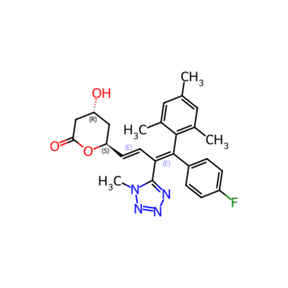 Cc1cc(C)c(/C(=C(\C=C\[C@@H]2C[C@@H](O)CC(=O)O2)c2nnnn2C)c2ccc(F)cc2)c(C)c1